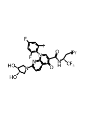 CC(C)C[C@H](NC(=O)c1cn(-c2c(F)cc(F)cc2F)c2nc(N3C[C@@H](O)[C@@H](O)C3)ccc2c1=O)C(F)(F)F